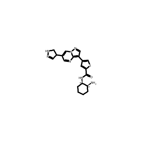 N[C@H]1CCCC[C@H]1NC(=O)c1cc(-c2cnn3cc(C4C=NNC4)cnc23)cs1